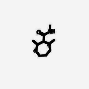 CNC(=O)C1C(C)[N]CCCN1C